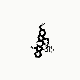 Cc1c2c(c(C(C)C)c3ccccc13)Sc1cc3cc(CC(C)C)ccc3c3cc[n+](C)c-2c13